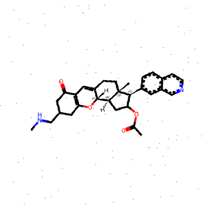 CNCC1CC(=O)C2=C(C1)O[C@@H]1C(=C2)CC[C@]2(C)[C@@H](c3ccc4ccncc4c3)C(OC(C)=O)C[C@@H]12